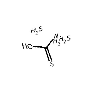 NC(O)=S.S.S